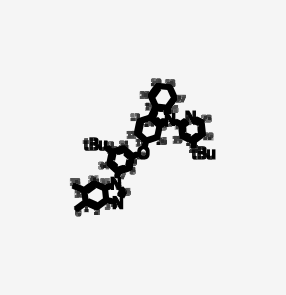 CC1=CC2N=CN(c3cc(OC4C=Cc5c6c(n(-c7cc(C(C)(C)C)ccn7)c5C4)CCC=C6)cc(C(C)(C)C)c3)C2C=C1C